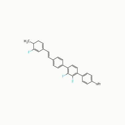 CCCc1ccc(-c2ccc(-c3ccc(/C=C/C4=CCC(C)C(F)=C4)cc3)c(F)c2F)cc1